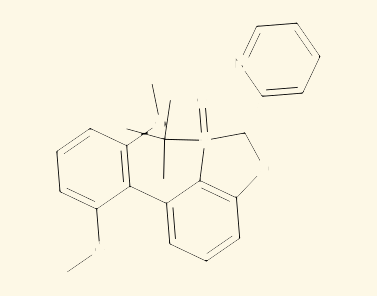 COc1cccc(OC)c1-c1cccc2c1P(=O)(C(C)(C)C)[C@H](c1ccccn1)O2